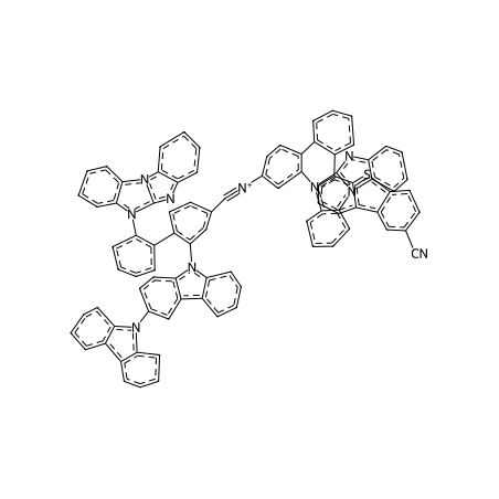 N#Cc1ccc2sc3c(-c4ccccc4-c4ccc([N+]#Cc5ccc(-c6ccccc6-n6c7ccccc7n7c8ccccc8nc67)c(-n6c7ccccc7c7cc(-n8c9ccccc9c9ccccc98)ccc76)c5)cc4-n4c5ccccc5n5c6ccccc6nc45)cccc3c2c1